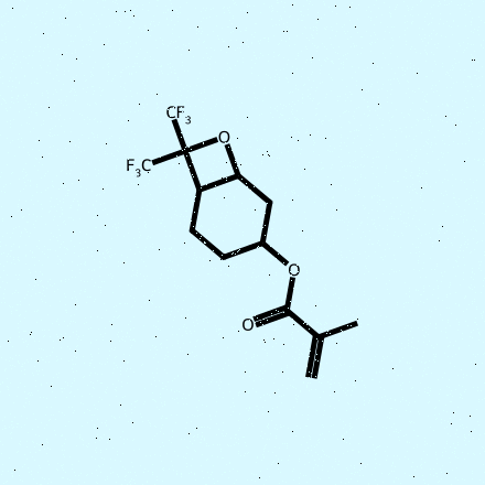 C=C(C)C(=O)OC1CCC2C(C1)OC2(C(F)(F)F)C(F)(F)F